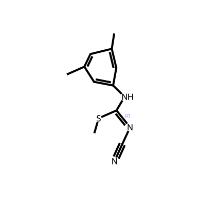 CS/C(=N\C#N)Nc1cc(C)cc(C)c1